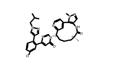 CC(C)Cn1cc(-c2ccc(Cl)cc2-c2cc(=O)n([C@H]3CCC[C@@H](C)C(=O)Nc4cnn(C)c4-c4ccnc3c4)cn2)cn1